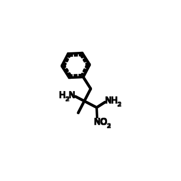 CC(N)(Cc1ccccc1)C(N)[N+](=O)[O-]